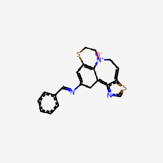 [O-][N+]12CC=c3scnc3=C3CC(/N=C/c4ccccc4)=CC(=C31)SCC2